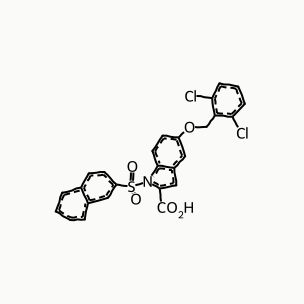 O=C(O)c1cc2cc(OCc3c(Cl)cccc3Cl)ccc2n1S(=O)(=O)c1ccc2ccccc2c1